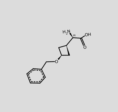 N[C@@H](C(=O)O)[C@H]1C[C@@H](OCc2ccccc2)C1